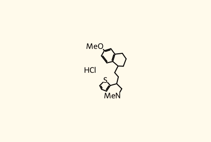 CNCC(CCC1CCCc2cc(OC)ccc21)c1cccs1.Cl